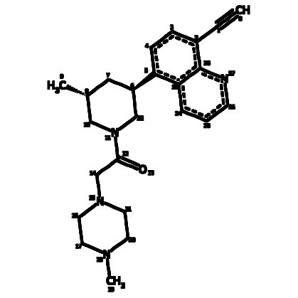 C#Cc1ccc([C@@H]2C[C@@H](C)CN(C(=O)CN3CCN(C)CC3)C2)c2cccnc12